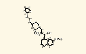 COc1ccc2nccc([C@@H](O)CC[C@@H]3CCN(CCCc4ccco4)C[C@@H]3C(=O)O)c2c1